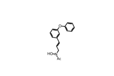 CC(=O)N(O)CC=Cc1cccc(Oc2ccccc2)c1